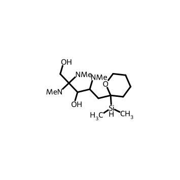 CNC(CC1([SiH](C)C)CCCCO1)C(O)C(CO)(NC)NC